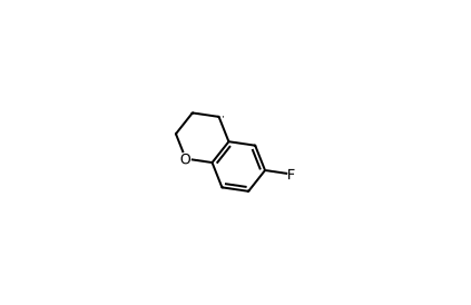 Fc1ccc2c(c1)[CH]CCO2